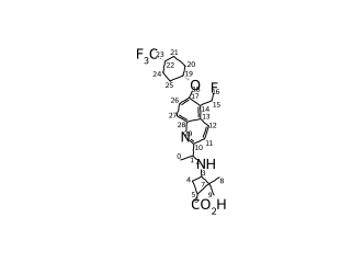 CC(NC1CC(C(=O)O)C1(C)C)c1ccc2c(CF)c(O[C@H]3CC[C@@H](C(F)(F)F)CC3)ccc2n1